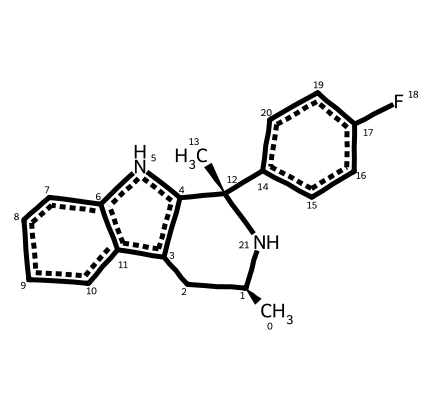 C[C@H]1Cc2c([nH]c3ccccc23)[C@](C)(c2ccc(F)cc2)N1